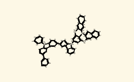 c1ccc(-c2ccc3c(c2)c2cc(-c4ccc5c(c4)c4ccccc4n5-c4cc5c6c(c4)Oc4cc7ccccc7cc4N6c4cc6ccccc6cc4O5)ccc2n3-c2ccccc2)cc1